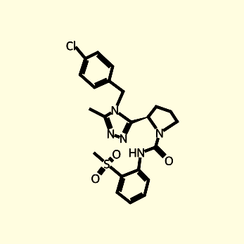 Cc1nnc([C@H]2CCCN2C(=O)Nc2ccccc2S(C)(=O)=O)n1Cc1ccc(Cl)cc1